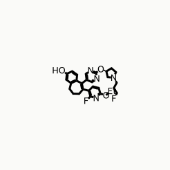 CCOc1ccc(C2=C(c3cnc(O[C@H]4CCN(CCCF)C4)nc3)c3ccc(O)cc3CCC2)c(F)n1